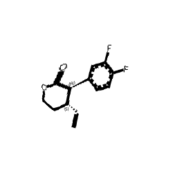 C=C[C@@H]1CCOC(=O)[C@H]1c1ccc(F)c(F)c1